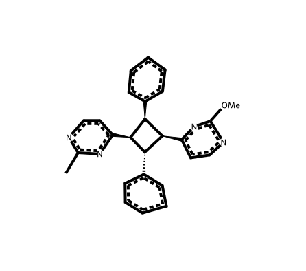 COc1nccc([C@H]2[C@H](c3ccccc3)[C@@H](c3ccnc(C)n3)[C@H]2c2ccccc2)n1